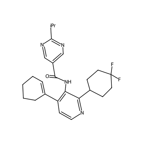 CC(C)c1ncc(C(=O)Nc2c(C3=CCCCC3)ccnc2C2CCC(F)(F)CC2)cn1